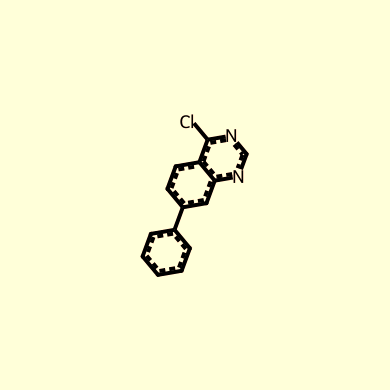 Clc1ncnc2cc(-c3ccccc3)ccc12